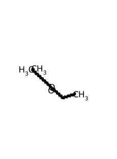 CCCCCCCC/C=C\CCCCCCCC(=O)OCCCCCCCCCCCCCCCC(C)C